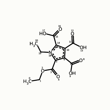 CCOC(=O)c1c(C(=O)O)c(C(=O)O)c(C(=O)O)n1CC